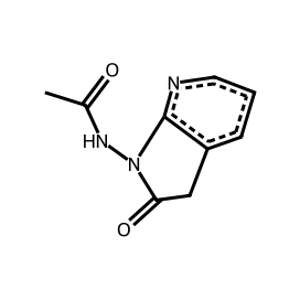 CC(=O)NN1C(=O)Cc2cccnc21